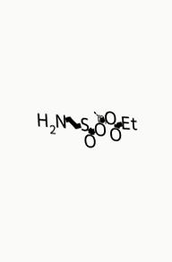 CCC(=O)O[C@@H](C)OC(=O)SCCN